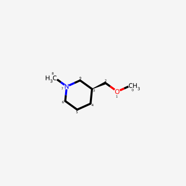 COC[C@H]1CCCN(C)C1